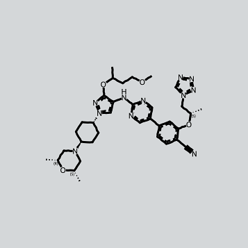 COCCC(C)Oc1nn([C@H]2CC[C@H](N3C[C@@H](C)O[C@@H](C)C3)CC2)cc1Nc1ncc(-c2ccc(C#N)c(O[C@@H](C)Cn3cnnn3)c2)cn1